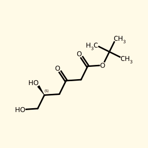 CC(C)(C)OC(=O)CC(=O)C[C@H](O)CO